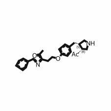 CC(=O)[C@H]1CNC[C@H]1Cc1ccc(OCCc2nc(-c3ccccc3)oc2C)cc1